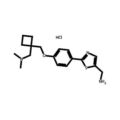 CN(C)CC1(COc2ccc(-c3ncc(CN)s3)cc2)CCC1.Cl